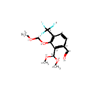 COCOc1c(C(F)(F)F)ccc(C=O)c1C(OC)OC